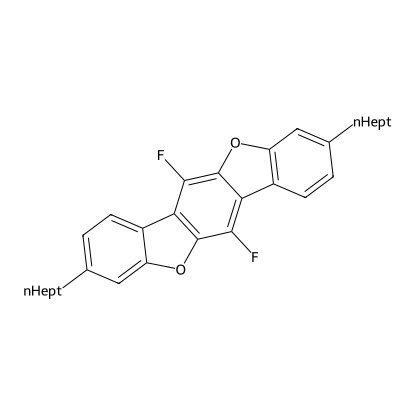 CCCCCCCc1ccc2c(c1)oc1c(F)c3c(oc4cc(CCCCCCC)ccc43)c(F)c12